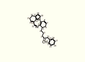 CN(CCCC1CC=CC2=C1N=CC1=CCCc3ccn2c31)Cc1ccccc1